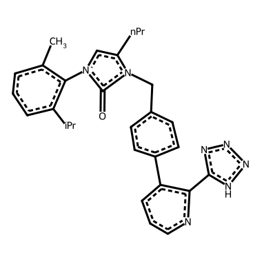 CCCc1cn(-c2c(C)cccc2C(C)C)c(=O)n1Cc1ccc(-c2cccnc2-c2nnn[nH]2)cc1